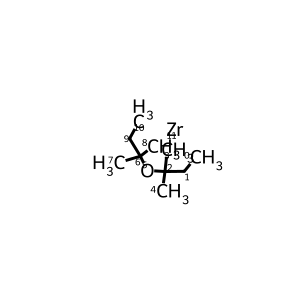 CCC(C)(C)OC(C)(C)CC.[Zr]